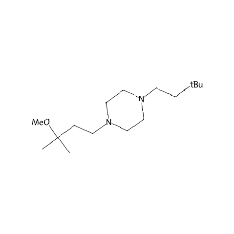 COC(C)(C)CCN1CCN(CCC(C)(C)C)CC1